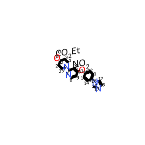 CCOC(=O)OC1CCN(c2nccc(Oc3ccc(-n4ccnc4)cc3)c2[N+](=O)[O-])CC1